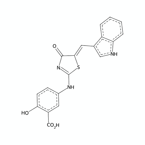 O=C1N=C(Nc2ccc(O)c(C(=O)O)c2)S/C1=C\c1c[nH]c2ccccc12